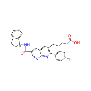 O=C(O)CCCCc1cc2cc(C(=O)N[C@@H]3CCc4ccccc43)cnc2nc1-c1ccc(F)cc1